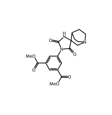 COC(=O)c1cc(C(=O)OC)cc(N2C(=O)NC3(CN4CCC3CC4)C2=O)c1